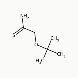 CC(C)(C)OCC(N)=S